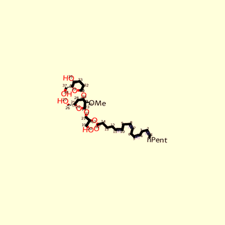 CCCCC/C=C\C/C=C\C/C=C\C/C=C\CCCC(=O)OC(CO)CO[C@@H]1O[C@H](CO)C[C@H](O[C@H]2CC[C@H](O)[C@@H](CO)O2)[C@H]1OC